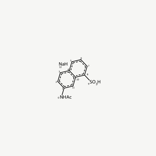 CC(=O)Nc1ccc2cccc(S(=O)(=O)O)c2c1.[NaH]